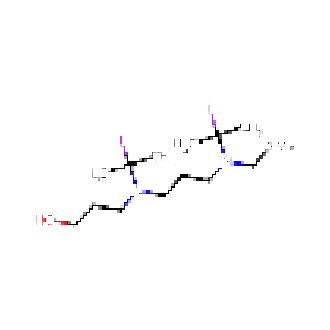 CSCN(CCCN(CCCO)C(C)(C)I)C(C)(C)I